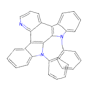 c1ccc(-n2c3ccccc3c3c4cccnc4c4c5ccccc5n(-c5ccccc5)c4c32)cc1